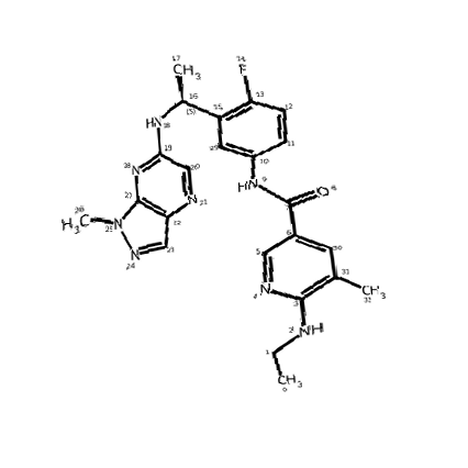 CCNc1ncc(C(=O)Nc2ccc(F)c([C@H](C)Nc3cnc4cnn(C)c4n3)c2)cc1C